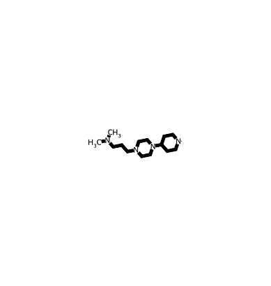 CN(C)CCCN1CCN(C2CC[N]CC2)CC1